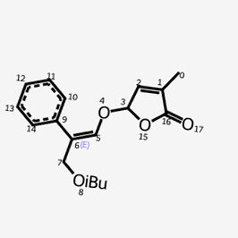 CC1=CC(O/C=C(/COCC(C)C)c2ccccc2)OC1=O